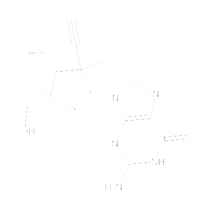 C#CC1(Cl)[C@@H](O)[C@@H](CO)O[C@H]1n1cnc2c(=S)[nH]c(N)nc21